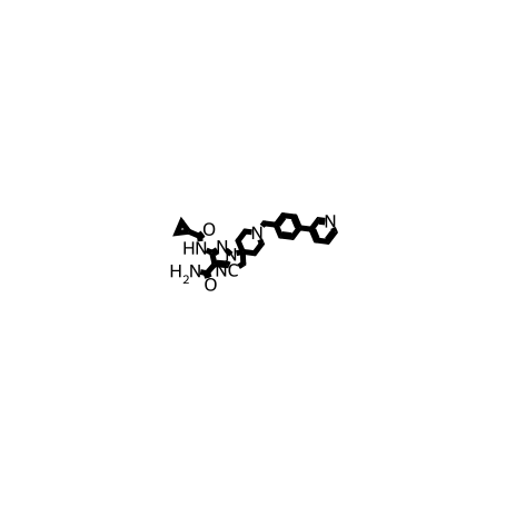 N#CCC1(n2cc(C(N)=O)c(NC(=O)C3CC3)n2)CCN(Cc2ccc(-c3cccnc3)cc2)CC1